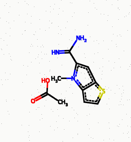 CC(=O)O.Cn1c(C(=N)N)cc2sccc21